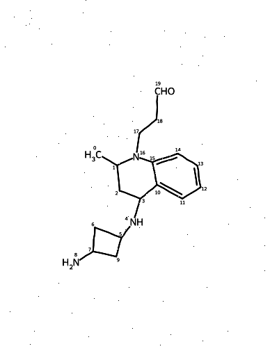 CC1CC(NC2CC(N)C2)c2ccccc2N1CCC=O